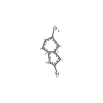 [2H]c1cc2cc(C(F)(F)F)ccn2n1